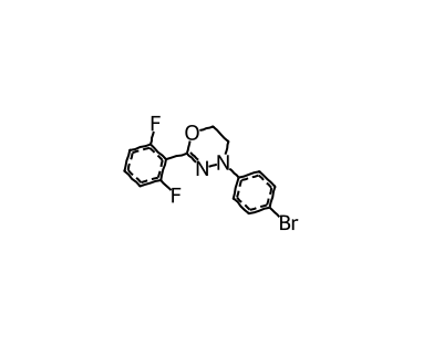 Fc1cccc(F)c1C1=NN(c2ccc(Br)cc2)CCO1